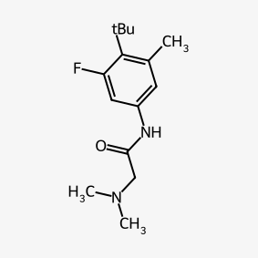 Cc1cc(NC(=O)CN(C)C)cc(F)c1C(C)(C)C